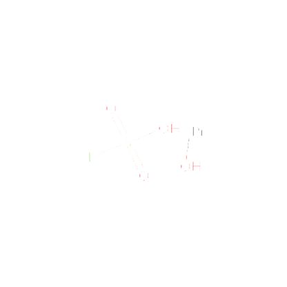 CC(C)O.O=S(=O)(O)F